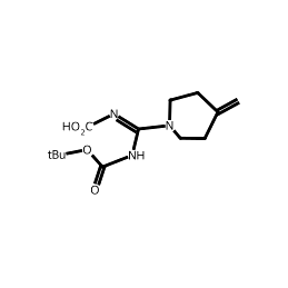 C=C1CCN(C(=NC(=O)O)NC(=O)OC(C)(C)C)CC1